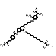 C=C(C)C(=O)OCCCCCCCCCCCOC(=O)c1cc(OC(=O)c2ccc(/C=C/C(=O)OC)cc2)ccc1CCCCCCOOc1ccc(C(=C)C(=O)OC)cc1OC